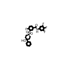 O=C(Nc1cc(F)c(F)c(F)c1)c1ccc(F)c(S(=O)(=O)N2CCC(O)(c3ccccc3)CC2)c1